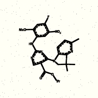 COc1cc(F)c([N+](=O)[O-])cc1Nc1ncc(C(=O)OC(C)C)c(N2CC(C)(C)c3nc(C)ccc32)n1